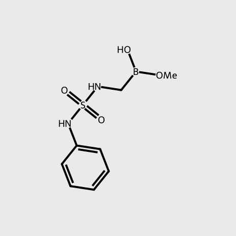 COB(O)CNS(=O)(=O)Nc1ccccc1